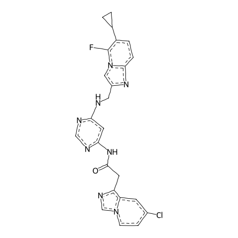 O=C(Cc1ncn2ccc(Cl)cc12)Nc1cc(NCc2cn3c(F)c(C4CC4)ccc3n2)ncn1